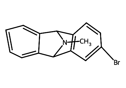 CN1C2c3ccccc3C1c1cc(Br)ccc12